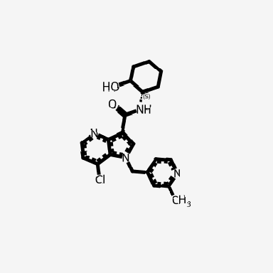 Cc1cc(Cn2cc(C(=O)N[C@H]3CCCCC3O)c3nccc(Cl)c32)ccn1